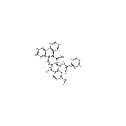 COc1ccc2c(c1)c(OC(=O)c1ccccc1)c(C(=O)N(C(=O)c1ccccc1)c1ccccc1)c(=O)n2C